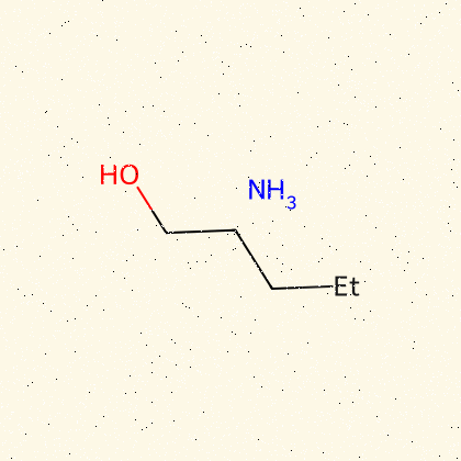 N.[CH2]CCCCO